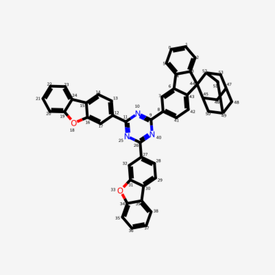 c1ccc2c(c1)-c1cc(-c3nc(-c4ccc5c(c4)oc4ccccc45)nc(-c4ccc5c(c4)oc4ccccc45)n3)ccc1C21C2CC3CC(C2)CC1C3